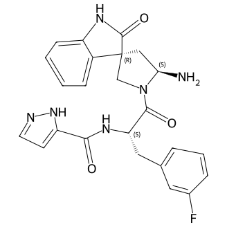 N[C@@H]1C[C@@]2(CN1C(=O)[C@H](Cc1cccc(F)c1)NC(=O)c1ccn[nH]1)C(=O)Nc1ccccc12